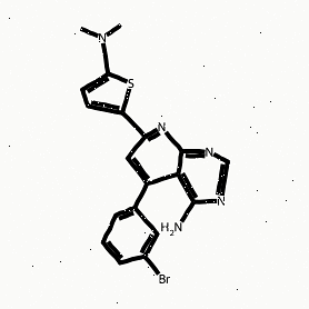 CN(C)c1ccc(-c2cc(-c3cccc(Br)c3)c3c(N)ncnc3n2)s1